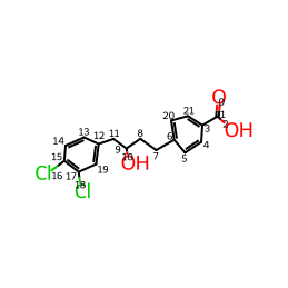 O=C(O)c1ccc(CCC(O)Cc2ccc(Cl)c(Cl)c2)cc1